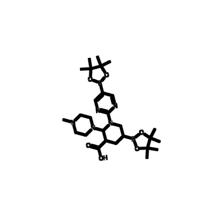 CN1CCN(C2C(C(=O)O)CC(B3OC(C)(C)C(C)(C)O3)CN2c2ncc(B3OC(C)(C)C(C)(C)O3)cn2)CC1